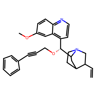 C=CC1CN2CCC1CC2[C@H](OCC#Cc1ccccc1)c1ccnc2ccc(OC)cc12